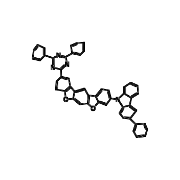 c1ccc(-c2ccc3c(c2)c2ccccc2n3-c2ccc3c(c2)oc2cc4oc5ccc(-c6nc(-c7ccccc7)nc(-c7ccccc7)n6)cc5c4cc23)cc1